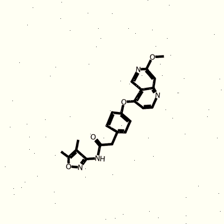 COc1cc2nccc(Oc3ccc(CC(=O)Nc4noc(C)c4C)cc3)c2cn1